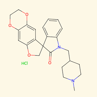 CN1CCC(CN2C(=O)C3(COc4cc5c(cc43)OCCO5)c3ccccc32)CC1.Cl